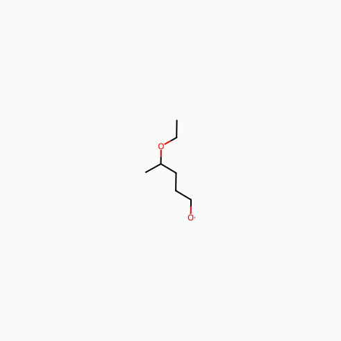 CCOC(C)CCC[O]